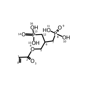 C=CC(=O)OCC(CP(=O)(O)O)CP(=O)(O)O